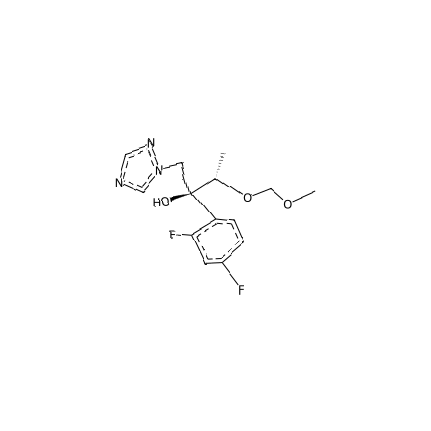 COCO[C@@H](C)[C@@](O)(Cn1cncn1)c1ccc(F)cc1F